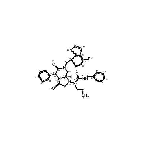 C=CCN(C(=O)NCc1ccccc1)N1CC(=O)N2[C@@H](c3ccccc3)C(=O)N(Cc3ccc(F)c4scnc34)C[C@@H]21